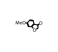 COc1ccc2c(c1)OCC2=O